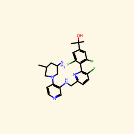 CC1CC(N)CN(c2ccncc2NCc2ccc(F)c(-c3c(F)cc(C(C)(C)O)cc3F)n2)C1